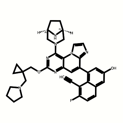 C#Cc1c(F)ccc2cc(O)cc(-c3cc4nc(OCC5(CN6CCCC6)CC5)nc(N5C[C@H]6CC[C@@H](C5)N6)c4n4ccnc34)c12